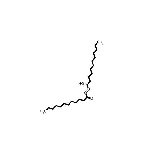 CCCCCCCCCCCC(=O)OO[C@H](O)CCCCCCCCCCC